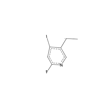 C[CH]c1cnc(F)cc1I